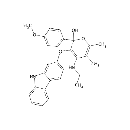 CCNC1=C(Oc2ccc3c(c2)[nH]c2ccccc23)C(O)(c2ccc(OC)cc2)OC(C)=C1C